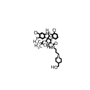 CC(C)(C)C[C@H]1N[C@@H](C(=O)NCCCN2CCC(CO)CC2)[C@H](c2cccc(Cl)c2F)[C@@]12C(=O)Nc1cc(Cl)c(F)cc12